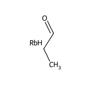 CCC=O.[RbH]